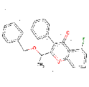 CC(OCc1ccccc1)c1oc2cccc(F)c2c(=O)c1-c1ccccc1